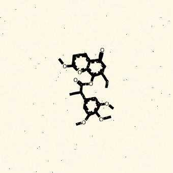 CCc1cc(=O)c2ccc(OC)oc-2c1OC(=O)C(C)c1cc(OC)c(OC)c(OC)c1